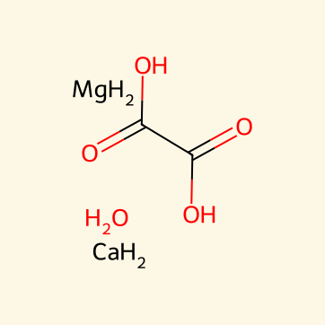 O.O=C(O)C(=O)O.[CaH2].[MgH2]